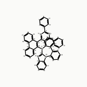 c1ccc(-c2nc(-c3ccccc3)nc(-c3c(N4c5ccccc5-c5ccccc5-n5c4nc4ccccc45)c4ccccc4c4ccccc34)n2)cc1